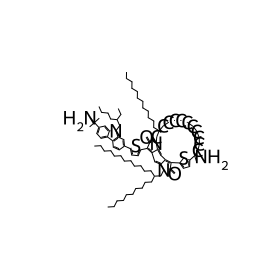 CCCCCCCCCCCCC1CCCCCCCCCCC(C)(N)c2ccc(s2)C2=c3cc4c(cc3N(CC(CCCCCCCCCC)CCCCCCCCCCCC)C2=O)=C(c2ccc(-c3ccc5c6ccc(C(C)(C)N)cc6n(CC(CC)CCCC)c5c3)s2)C(=O)N4C1